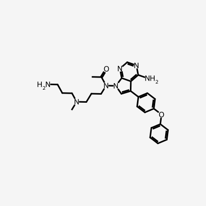 CC(=O)N(CCCN(C)CCCN)n1cc(-c2ccc(Oc3ccccc3)cc2)c2c(N)ncnc21